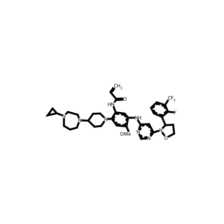 C=CC(=O)Nc1cc(Nc2cc(N3OCCC3c3cccc(C(F)(F)F)c3F)ncn2)c(OC)cc1N1CCC(N2CCCN(C3CC3)CC2)CC1